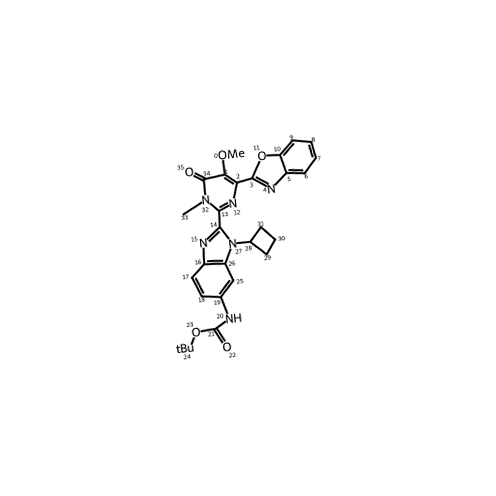 COc1c(-c2nc3ccccc3o2)nc(-c2nc3ccc(NC(=O)OC(C)(C)C)cc3n2C2CCC2)n(C)c1=O